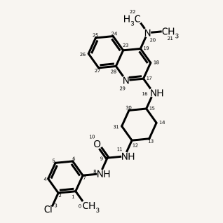 Cc1c(Cl)cccc1NC(=O)NC1CCC(Nc2cc(N(C)C)c3ccccc3n2)CC1